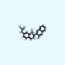 Cc1cc2ccccc2cc1-c1ccc2ccc(CC(C)C)cc2[n+]1C